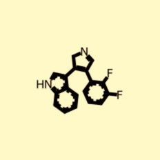 Fc1cccc(C2=C(c3c[nH]c4ccccc34)CN=C2)c1F